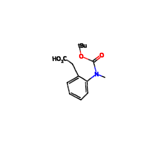 CN(C(=O)OC(C)(C)C)c1ccccc1CC(=O)O